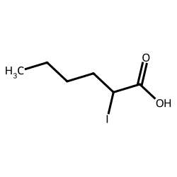 CCCCC(I)C(=O)O